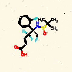 CC(C)(C)[S@@+]([O-])N[C@](CF)(c1ccccc1F)C(F)(F)C=CC(=O)O